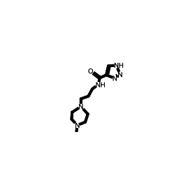 CN1CCN(CCCNC(=O)c2c[nH]nn2)CC1